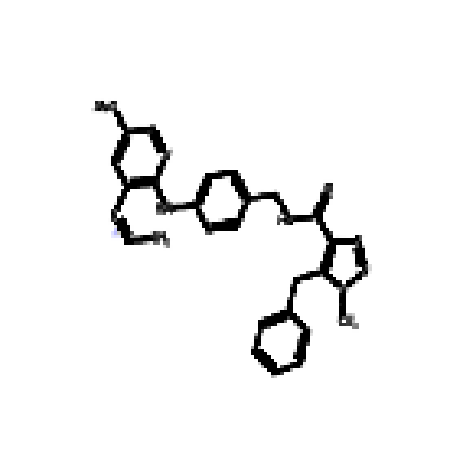 C/C=N\c1cc(OC)cnc1Nc1ccc(CNC(=O)c2nnn(C)c2Cc2ccccc2)cc1